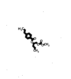 CCCc1ccc(C(=O)OC(CCC)COC(=O)OC)cc1